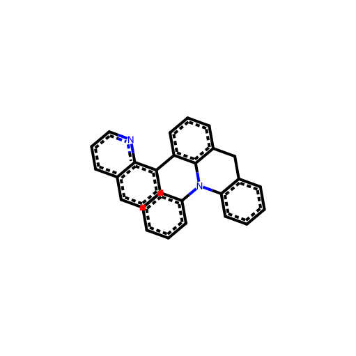 c1ccc(N2c3ccccc3Cc3cccc(-c4cccc5cccnc45)c32)cc1